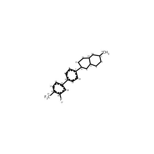 CC1CCC2CC(c3ccc(-c4ccc(C(F)(F)F)c(F)c4)cc3)CCC2C1